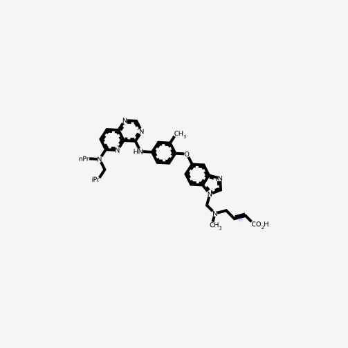 CCCN(CC(C)C)c1ccc2ncnc(Nc3ccc(Oc4ccc5c(c4)ncn5CN(C)C/C=C/C(=O)O)c(C)c3)c2n1